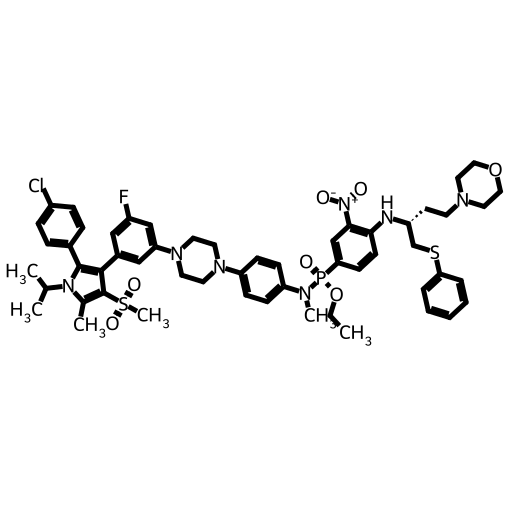 CCOP(=O)(c1ccc(N[C@H](CCN2CCOCC2)CSc2ccccc2)c([N+](=O)[O-])c1)N(C)c1ccc(N2CCN(c3cc(F)cc(-c4c(S(C)(=O)=O)c(C)n(C(C)C)c4-c4ccc(Cl)cc4)c3)CC2)cc1